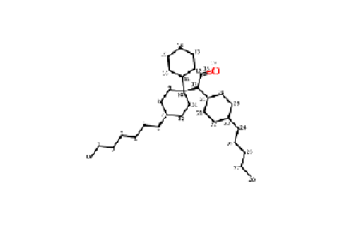 CCCCCCC[C@H]1CC[C@@](C2CCCCC2)(C(C=O)C2CCC(CCCCC)CC2)CC1